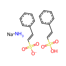 N.O=S(=O)(O)C=Cc1ccccc1.O=S(=O)([O-])C=Cc1ccccc1.[Na+]